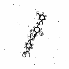 O=C1CC(COc2cccc(F)c2)CC(=O)C1=CNCCN1CCN(CCO)CC1